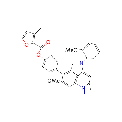 COc1cc(OC(=O)c2occc2C)ccc1-c1ccc2c3c1CN(c1ccccc1OC)C3=CC(C)(C)N2